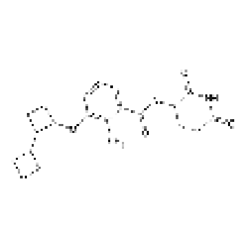 Cc1c(OC2CCC2C2CCC2)cccc1C(=O)NC1CCC(=O)NC1=O